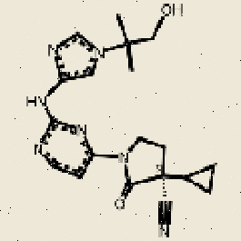 CC(C)(CO)n1cnc(Nc2nccc(N3CC[C@@](C#N)(C4CC4)C3=O)n2)c1